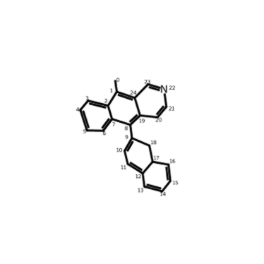 Cc1c2ccccc2c(C2=CC=C3C=CC=CC3C2)c2ccncc12